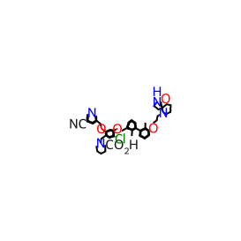 Cc1c(COc2cc(OCc3cncc(C#N)c3)c(CN3CCCC[C@H]3C(=O)O)cc2Cl)cccc1-c1cccc(OCCCN2CCCCC23CCNC3=O)c1C